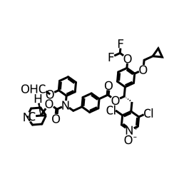 O=COc1ccccc1N(Cc1ccc(C(=O)O[C@@H](Cc2c(Cl)c[n+]([O-])cc2Cl)c2ccc(OC(F)F)c(OCC3CC3)c2)cc1)C(=O)O[C@H]1CN2CCC1CC2